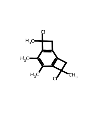 Cc1c(C)c2c(c3c1C(C)(Cl)C3)CC2(C)Cl